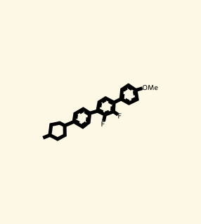 COc1ccc(-c2ccc(-c3ccc(C4CCC(C)CC4)cc3)c(F)c2F)cc1